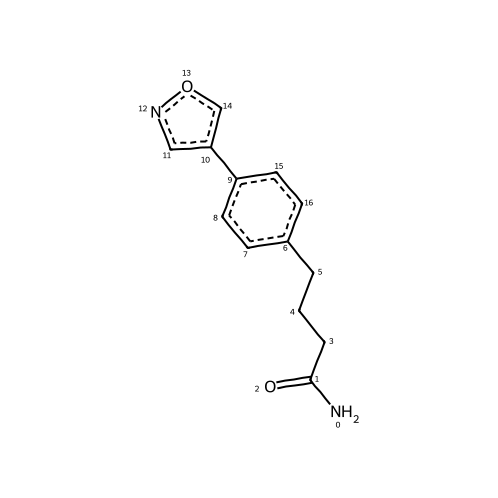 NC(=O)CCCc1ccc(-c2cnoc2)cc1